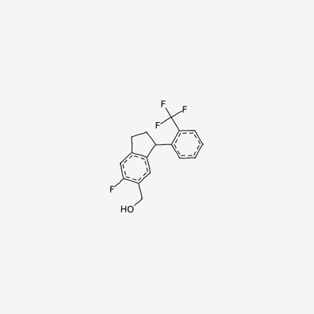 OCc1cc2c(cc1F)CCC2c1ccccc1C(F)(F)F